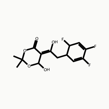 CC1(C)OC(=O)/C(=C(\O)CC2C=C(F)C(F)=CC2F)C(O)O1